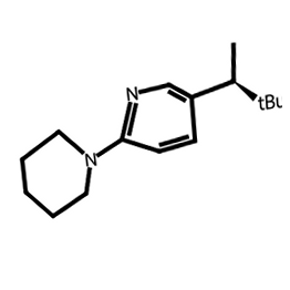 C[C@H](c1ccc(N2CCCCC2)nc1)C(C)(C)C